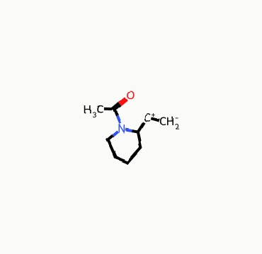 [CH2-][CH+]C1CCCCN1C(C)=O